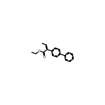 CC=C(C(=O)OCC)c1ccc(-c2ccccc2)cc1